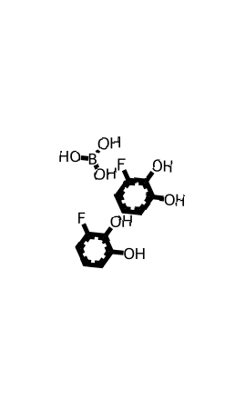 OB(O)O.Oc1cccc(F)c1O.Oc1cccc(F)c1O